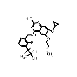 COCCOc1cc2c(NCc3cccc(C(F)(F)C(C)(C)O)c3F)nc(C)nc2cc1OC1CC1